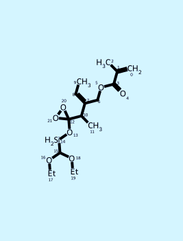 C=C(C)C(=O)OCC(=CC)C(C)C1(O[SiH2]C(OCC)OCC)OO1